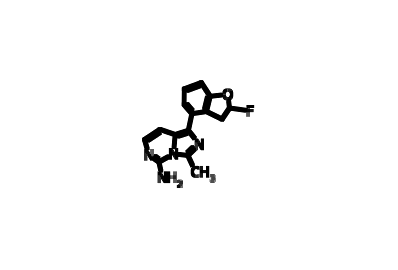 Cc1nc(-c2cccc3c2CC(F)O3)c2ccnc(N)n12